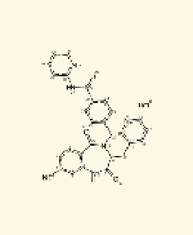 Cl.N#Cc1ccc2c(c1)NC(=O)C(Cc1cccnc1)N(Cc1ccc(C(=O)Nc3ccccn3)cc1)C2=O